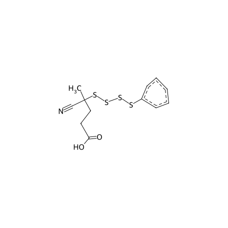 CC(C#N)(CCC(=O)O)SSSSc1ccccc1